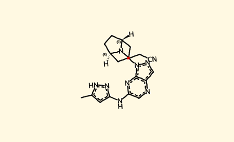 Cc1cc(Nc2cnc3cnn(C4C[C@H]5CC[C@H](C4)N5CCC#N)c3n2)n[nH]1